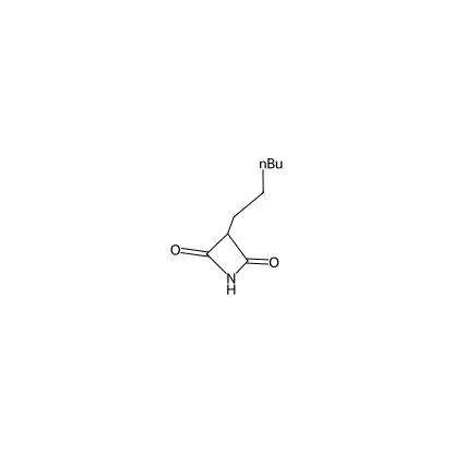 CCCCCCC1C(=O)NC1=O